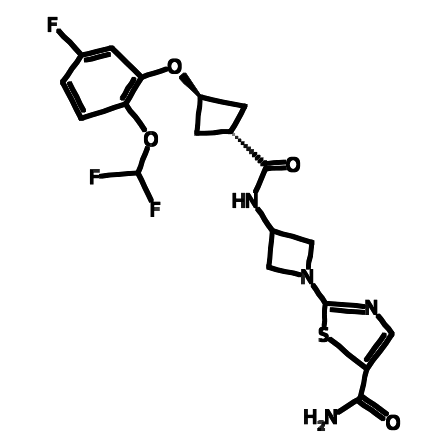 NC(=O)c1cnc(N2CC(NC(=O)[C@H]3C[C@H](Oc4cc(F)ccc4OC(F)F)C3)C2)s1